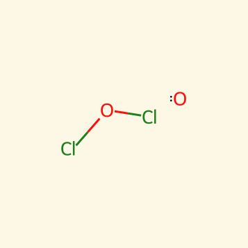 ClOCl.[O]